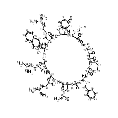 CCCC[C@H]1NC(=O)[C@H](Cc2ccc(F)cc2)NC(=O)[C@H](CCCN=C(N)N)NC(=O)[C@@H](Cc2ccc3ccccc3c2)CC(=O)[C@H](CCCN=C(N)N)NC(=O)[C@H](CCCN=C(N)N)NC(=O)[C@H](CCC(N)=O)NC(=O)C[C@@H](CCc2ccccc2)NC(=O)[C@@H]2CCCCN2C(=O)C(=O)C(C)(C)COC1=O